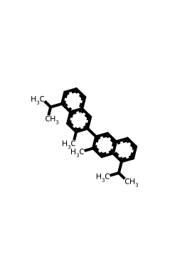 Cc1cc2c(C(C)C)cccc2cc1-c1cc2cccc(C(C)C)c2cc1C